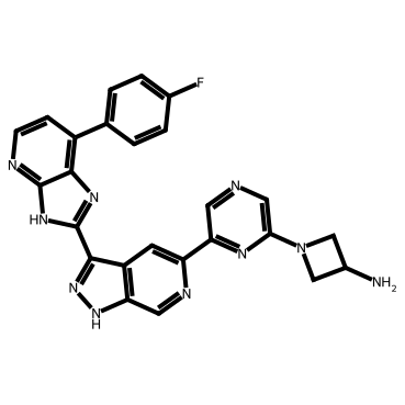 NC1CN(c2cncc(-c3cc4c(-c5nc6c(-c7ccc(F)cc7)ccnc6[nH]5)n[nH]c4cn3)n2)C1